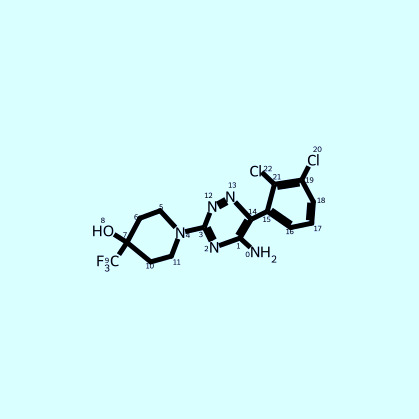 Nc1nc(N2CCC(O)(C(F)(F)F)CC2)nnc1-c1cccc(Cl)c1Cl